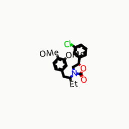 CCC(Cc1ccc(OC)c(OC)c1)N1CC(c2cccc(Cl)c2)OC1=O